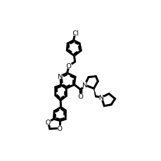 O=C(c1cc(OCc2ccc(Cl)cc2)nc2ccc(-c3ccc4c(c3)OCO4)cc12)N1CCC[C@H]1CN1CCCC1